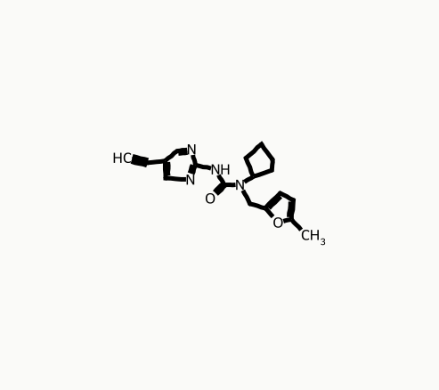 C#Cc1cnc(NC(=O)N(Cc2ccc(C)o2)C2CCCC2)nc1